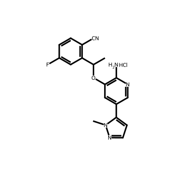 CC(Oc1cc(-c2ccnn2C)cnc1N)c1cc(F)ccc1C#N.Cl